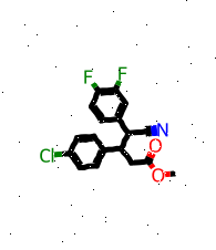 COC(=O)CC(c1ccc(Cl)cc1)C(C#N)c1ccc(F)c(F)c1